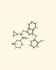 O=C(C1CNCCO1)N(Cc1cn(Cc2ccccc2F)c2ccccc12)C1CC1